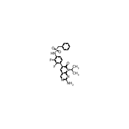 CC(C)n1c(=O)c(-c2ccc(NS(=O)(=O)Cc3ccccc3)c(F)c2F)cc2cnc(N)nc21